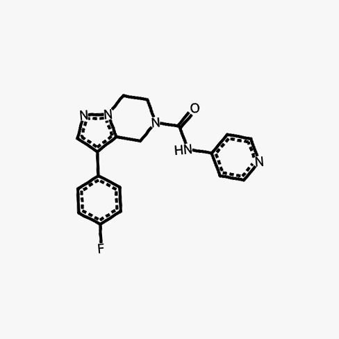 O=C(Nc1ccncc1)N1CCn2ncc(-c3ccc(F)cc3)c2C1